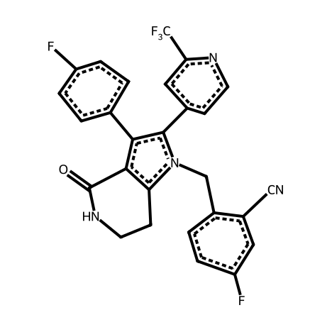 N#Cc1cc(F)ccc1Cn1c2c(c(-c3ccc(F)cc3)c1-c1ccnc(C(F)(F)F)c1)C(=O)NCC2